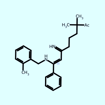 CC(=O)C(C)(C)CCCC(=N)/C=C(\NCc1ccccc1C)c1ccccc1